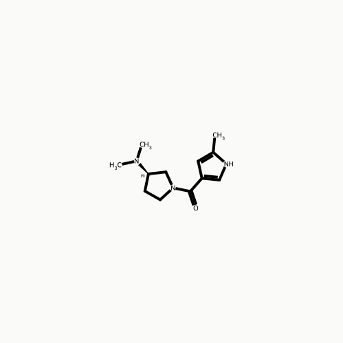 Cc1cc(C(=O)N2CC[C@@H](N(C)C)C2)c[nH]1